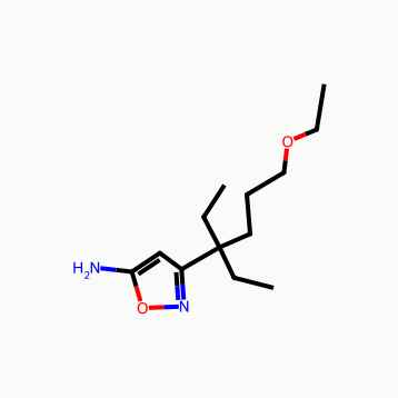 CCOCCCC(CC)(CC)c1cc(N)on1